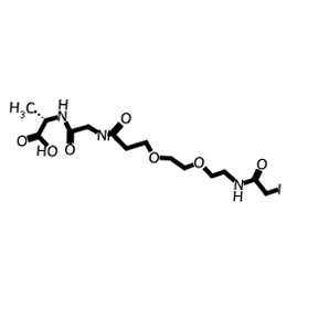 C[C@H](NC(=O)CNC(=O)CCOCCOCCNC(=O)CI)C(=O)O